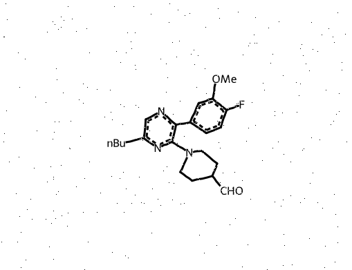 CCCCc1cnc(-c2ccc(F)c(OC)c2)c(N2CCC(C=O)CC2)n1